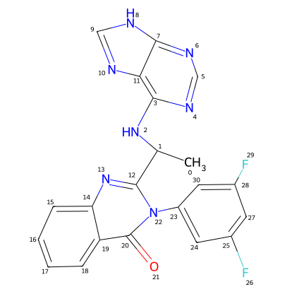 CC(Nc1ncnc2[nH]cnc12)c1nc2ccccc2c(=O)n1-c1cc(F)cc(F)c1